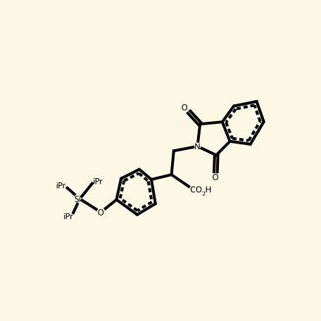 CC(C)[Si](Oc1ccc(C(CN2C(=O)c3ccccc3C2=O)C(=O)O)cc1)(C(C)C)C(C)C